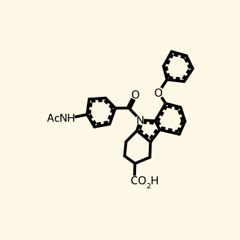 CC(=O)Nc1ccc(C(=O)n2c3c(c4cccc(Oc5ccccc5)c42)CC(C(=O)O)CC3)cc1